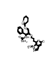 CCn1ncc2cc(Cl)nc(CCCOC(COC3CCCCO3)C(NC(N)=O)c3ccccc3)c21